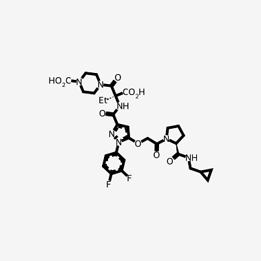 CC[C@@](NC(=O)c1cc(OCC(=O)N2CCC[C@H]2C(=O)NCC2CC2)n(-c2ccc(F)c(F)c2)n1)(C(=O)O)C(=O)N1CCN(C(=O)O)CC1